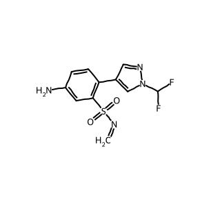 C=NS(=O)(=O)c1cc(N)ccc1-c1cnn(C(F)F)c1